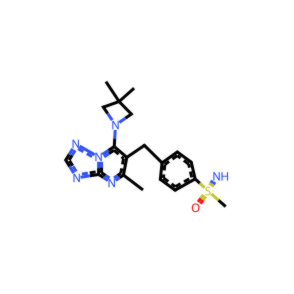 Cc1nc2ncnn2c(N2CC(C)(C)C2)c1Cc1ccc(S(C)(=N)=O)cc1